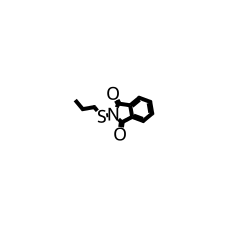 CCCSN1C(=O)c2ccccc2C1=O